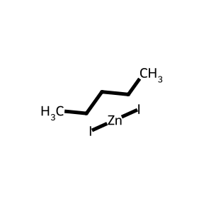 CCCCC.[I][Zn][I]